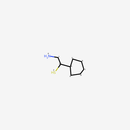 NCC(S)C1CCCCC1